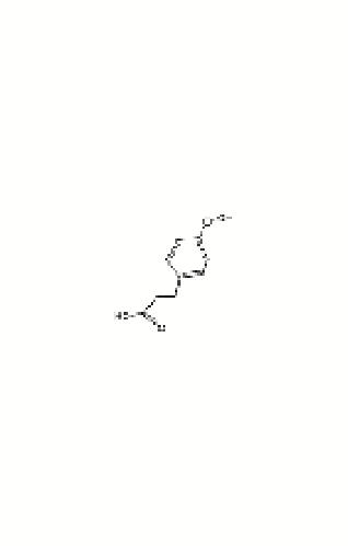 O=C(O)CCc1ccc(OO)cc1